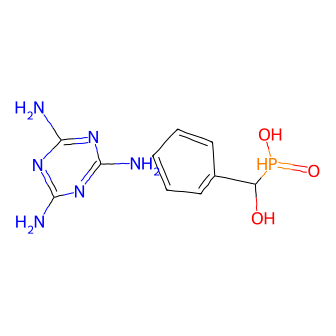 Nc1nc(N)nc(N)n1.O=[PH](O)C(O)c1ccccc1